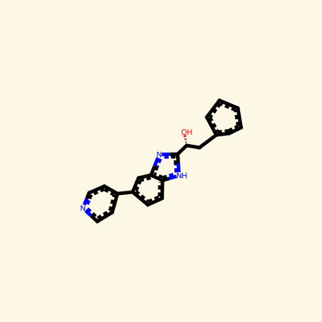 O[C@H](Cc1ccccc1)c1nc2cc(-c3ccncc3)ccc2[nH]1